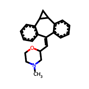 CN1CCOC(C=C2c3ccccc3C3CC3c3ccccc32)C1